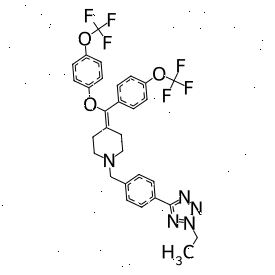 CCn1nnc(-c2ccc(CN3CCC(=C(Oc4ccc(OC(F)(F)F)cc4)c4ccc(OC(F)(F)F)cc4)CC3)cc2)n1